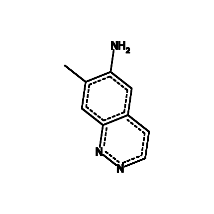 Cc1cc2nnccc2cc1N